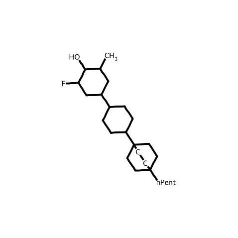 CCCCCC12CCC(C3CCC(C4CC(C)C(O)C(F)C4)CC3)(CC1)CC2